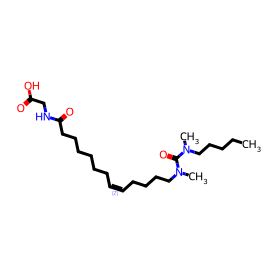 CCCCCN(C)C(=O)N(C)CCCC/C=C\CCCCCCC(=O)NCC(=O)O